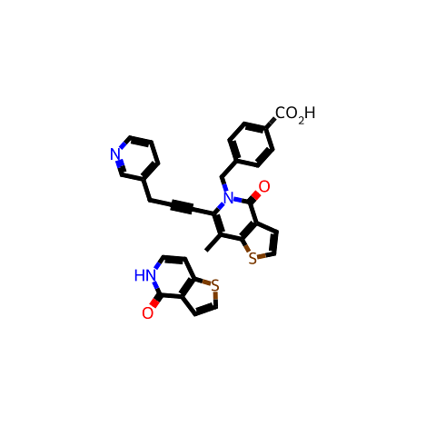 Cc1c(C#CCc2cccnc2)n(Cc2ccc(C(=O)O)cc2)c(=O)c2ccsc12.O=c1[nH]ccc2sccc12